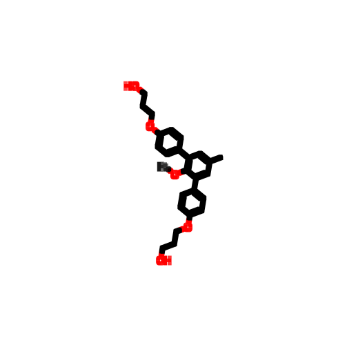 CCOc1c(-c2ccc(OCCCO)cc2)cc(C)cc1-c1ccc(OCCCO)cc1